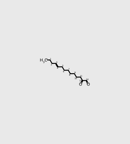 CCCC=CCCCCCCCC(=O)C=O